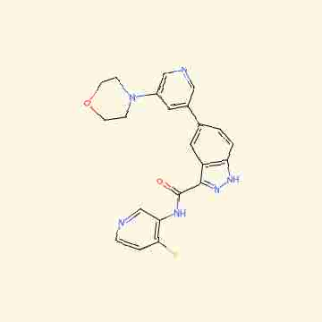 O=C(Nc1cnccc1F)c1n[nH]c2ccc(-c3cncc(N4CCOCC4)c3)cc12